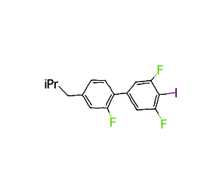 CC(C)Cc1ccc(-c2cc(F)c(I)c(F)c2)c(F)c1